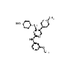 COc1cccc(Nc2ncc(C3CCN(C)CC3)c(N[C@H]3CC[C@H](O)CC3)n2)c1